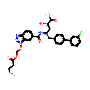 CCCC(=O)OCOn1nnc2ccc(C(=O)N[C@H](Cc3ccc(-c4cccc(Cl)c4)cc3)C[C@@H](O)C(=O)O)cc21